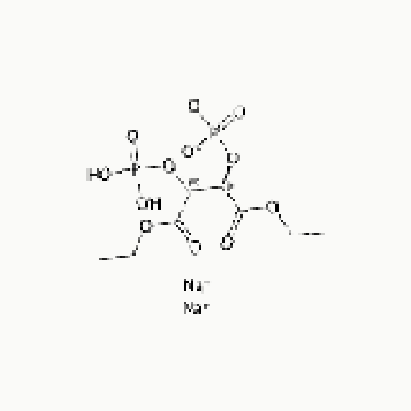 CCOC(=O)[C@H](OP(=O)([O-])[O-])[C@@H](OP(=O)(O)O)C(=O)OCC.[Na+].[Na+]